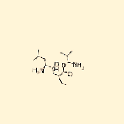 CC[C@@H](C[C@H](O)[C@@H](N)CC(C)C)C(=O)OC(N)C(C)C